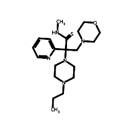 CCCN1CCN(C(CN2CCOCC2)(C(=S)NC)c2ccccn2)CC1